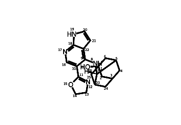 O[C@]12CC3CC(C1)[C@@H](Nc1c(C4=NCCO4)cnc4[nH]ccc14)C(C3)C2